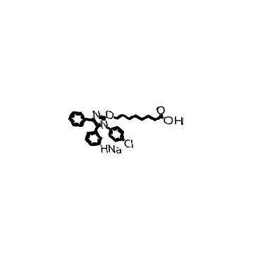 O=C(O)CCCCCCCOc1nc(-c2ccccc2)c(-c2ccccc2)n1-c1ccc(Cl)cc1.[NaH]